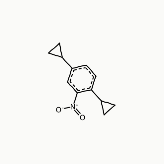 O=[N+]([O-])c1cc(C2CC2)ccc1C1CC1